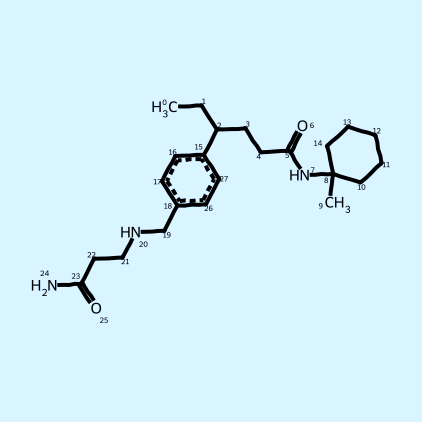 CCC(CCC(=O)NC1(C)CCCCC1)c1ccc(CNCCC(N)=O)cc1